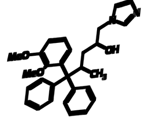 COc1cccc(C(c2ccccc2)(c2ccccc2)C(C)CC(O)Cn2ccnc2)c1OC